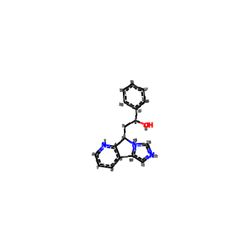 OC(CC1c2ncccc2-c2cncn21)c1ccccc1